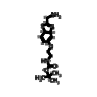 CC(C)(C)OC(=O)NCCOc1ccc2sc(CN)nc2c1